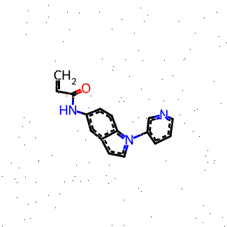 C=CC(=O)Nc1ccc2c(ccn2-c2cccnc2)c1